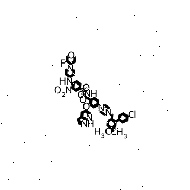 CC1(C)CCC(CN2CCN(c3ccc(C(=O)NS(=O)(=O)c4ccc(NC5CCN(C6CCOC[C@@H]6F)CC5)c([N+](=O)[O-])c4)c(Oc4cnc5[nH]ccc5c4)c3)CC2)=C(c2ccc(Cl)cc2)C1